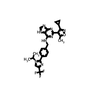 Cc1onc(C2CC2)c1-c1nc(NCc2ccc(-c3nc(C(F)(F)F)cn3C(C)C)cc2)c2[nH]cnc2n1